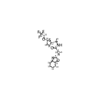 C[C@@H](NC(=O)[C@H]1C[C@@H]1c1nc2ccccc2o1)c1ccc(OCC(F)(F)F)s1